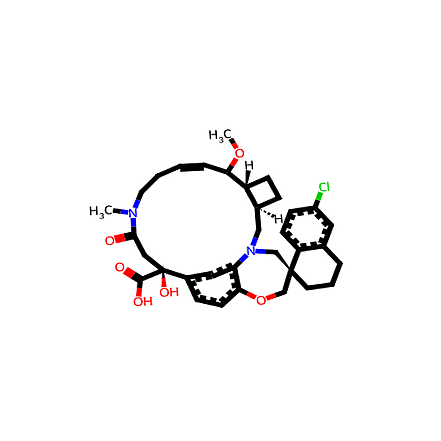 COC1C=CCCN(C)C(=O)C[C@@](O)(C(=O)O)c2ccc3c(c2)N(C[C@@H]2CC[C@@H]12)C[C@@]1(CCCc2cc(Cl)ccc21)CO3